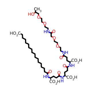 CC(O)COCCOCCNC(=O)COCCOCCNC(=O)CC[C@H](NC(=O)CC[C@H](NC(=O)CC[C@H](NC(=O)CCCCCCCCCCCCCCCCC(=O)O)C(=O)O)C(=O)O)C(=O)O